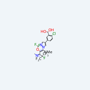 C/N=C(\C(OC(F)F)=C(/NC)n1cc(-c2ccc(Cl)c(C(O)O)c2)cn1)C(F)(C(F)(F)F)C(F)(F)F